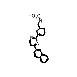 O=C(O)NCC1CCCN(c2nccc(-c3ccc4ccccc4c3)n2)C1